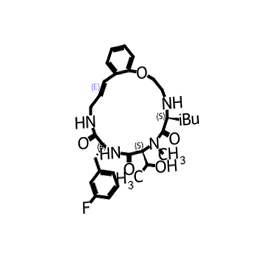 CCC(C)[C@@H]1NCCOc2ccccc2/C=C/CNC(=O)[C@@H](Cc2cccc(F)c2)NC(=O)[C@H](C(C)O)N(C)C1=O